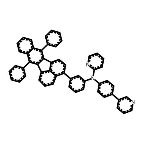 c1ccc(-c2c3c(c(-c4ccccc4)c4ccccc24)-c2ccc(-c4cccc(N(c5ccc(-c6cccnc6)cc5)c5ccccn5)c4)c4cccc-3c24)cc1